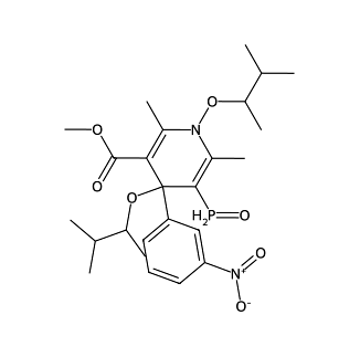 COC(=O)C1=C(C)N(OC(C)C(C)C)C(C)=C([PH2]=O)C1(OC(C)C(C)C)c1cccc([N+](=O)[O-])c1